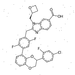 O=C(O)c1ccc2nc(Cc3cc(F)c(-c4cccc5c4OC(c4ccc(Cl)cc4F)CO5)cc3F)n(C[C@@H]3CCO3)c2c1